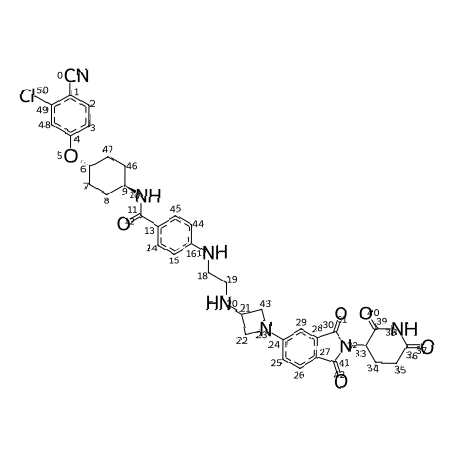 N#Cc1ccc(O[C@H]2CC[C@H](NC(=O)c3ccc(NCCNC4CN(c5ccc6c(c5)C(=O)N(C5CCC(=O)NC5=O)C6=O)C4)cc3)CC2)cc1Cl